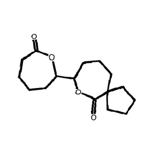 O=C1CCCCC(C2CCCC3(CCCC3)C(=O)O2)O1